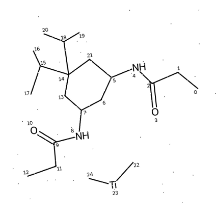 CCC(=O)NC1CC(NC(=O)CC)CC(C(C)C)(C(C)C)C1.[CH3][Ti][CH3]